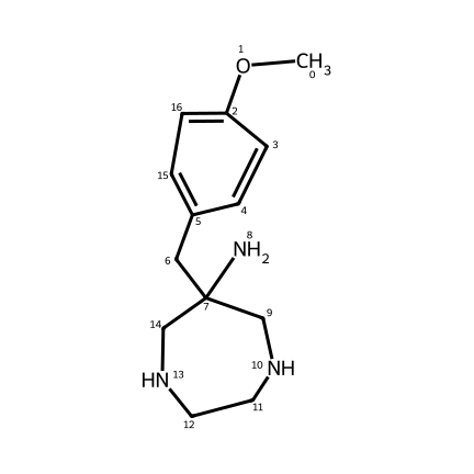 COc1ccc(CC2(N)CNCCNC2)cc1